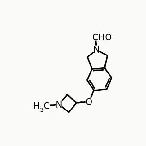 CN1CC(Oc2ccc3c(c2)CN(C=O)C3)C1